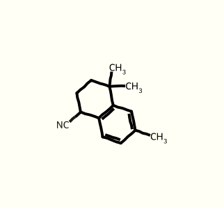 Cc1ccc2c(c1)C(C)(C)CCC2C#N